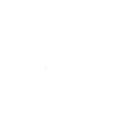 CCCSc1cccc2ccccc12